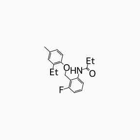 CCC(=O)Nc1cccc(F)c1COc1ccc(C)cc1CC